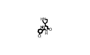 O=c1cc(C2CCNCC2)n2nc3ccc(Cl)cc3c2[nH]1